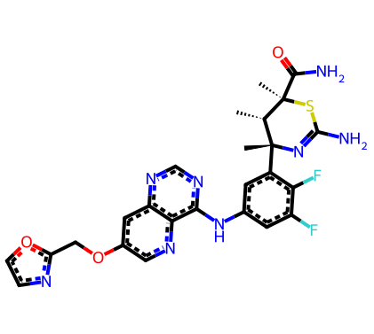 C[C@@H]1[C@@](C)(C(N)=O)SC(N)=N[C@]1(C)c1cc(Nc2ncnc3cc(OCc4ncco4)cnc23)cc(F)c1F